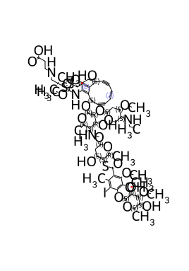 CCN[C@H]1CO[C@@H](O[C@H]2[C@H](O[C@H]3C#C/C=C\C#C[C@]4(O)CC(=O)C(NC(=O)OC)=C3/C4=C\CSSC(C)(C)CNCCC(=O)O)O[C@H](C)[C@@H](NO[C@H]3C[C@H](O)[C@H](SC(=O)c4c(C)c(I)c(O[C@@H]5O[C@@H](C)[C@H](O)[C@@H](OC)[C@H]5O)c(OC)c4OC)[C@@H](C)O3)[C@H]2O)C[C@@H]1OC